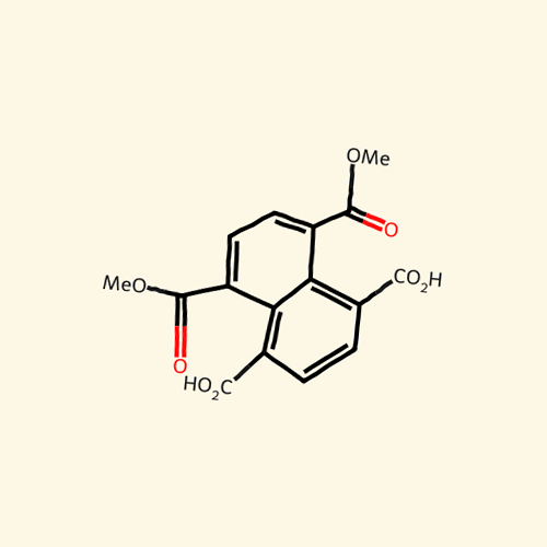 COC(=O)c1ccc(C(=O)OC)c2c(C(=O)O)ccc(C(=O)O)c12